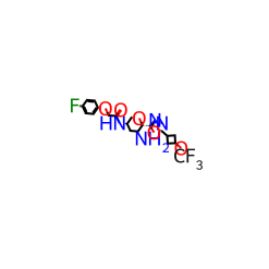 N[C@@H]1C[C@@H](NC(=O)COc2ccc(F)cc2)CO[C@@H]1c1nnc(C2CC(OC(F)(F)F)C2)o1